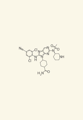 CS(=O)(=O)N(c1ncc2nc(Nc3c(Cl)cc(C#N)cc3Cl)n(C3CCC(C(N)=O)CC3)c2n1)[C@@H]1CCCNC1